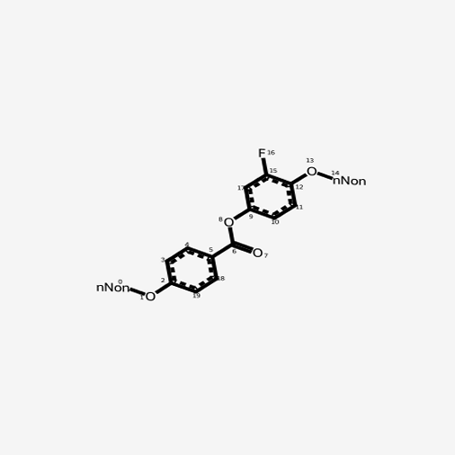 CCCCCCCCCOc1ccc(C(=O)Oc2ccc(OCCCCCCCCC)c(F)c2)cc1